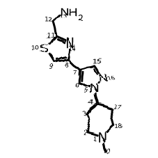 CN1CCC(n2cc(-c3csc(CN)n3)cn2)CC1